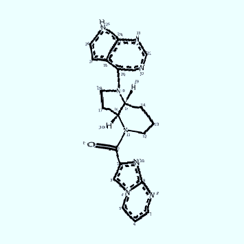 O=C(c1cn2cccnc2n1)N1CCC[C@@H]2[C@H]1CCN2c1ncnc2[nH]ccc12